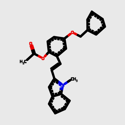 CC(=O)Oc1ccc(OCc2ccccc2)cc1/C=C/c1cc2ccccc2n1C